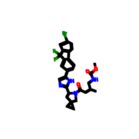 COC(=O)NCC(C)CC(=O)N1CC2(CC2)CC1c1ncc(-c2ccc3c(c2)C(F)(F)c2cc(Br)ccc2-3)[nH]1